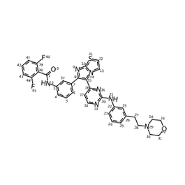 O=C(Nc1cccc(-c2nc3sccn3c2-c2ccnc(Nc3cccc(CCN4CCOCC4)c3)n2)c1)c1c(F)cccc1F